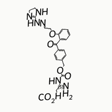 N[C@H](CC(=O)O)NC(=O)OCc1ccc(C(=O)c2ccccc2OCC=NNC2=NCCN2)cc1